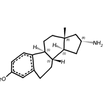 COc1ccc2c(c1)CC[C@@H]1[C@@H]2CC[C@]2(C)C[C@H](N)C[C@@H]12